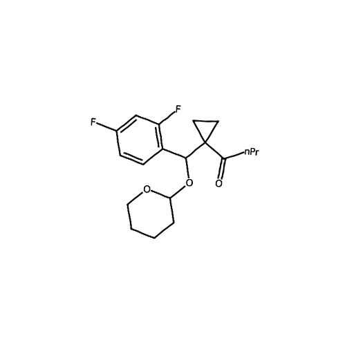 CCCC(=O)C1(C(OC2CCCCO2)c2ccc(F)cc2F)CC1